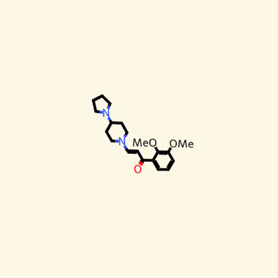 COc1cccc(C(=O)C=CN2CCC(N3CCCC3)CC2)c1OC